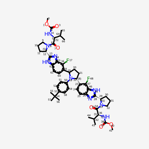 COC(=O)N[C@H](C(=O)N1CCC[C@H]1c1nc2c(F)c(C3CC[C@H](c4ccc5nc([C@@H]6CCCN6C(=O)[C@@H](NC(=O)OC)C(C)C)[nH]c5c4F)N3c3ccc(C(C)(C)C)cc3)ccc2[nH]1)C(C)C